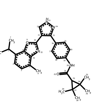 Cc1ccc(C(C)C)c2oc(-c3c[nH]nc3-c3ccc(NC(=O)C4C(C)(C)C4(C)C)cc3)nc12